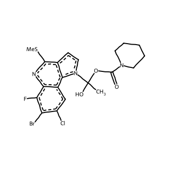 CSc1nc2c(F)c(Br)c(Cl)cc2c2c1ccn2C(C)(O)OC(=O)N1CCCCC1